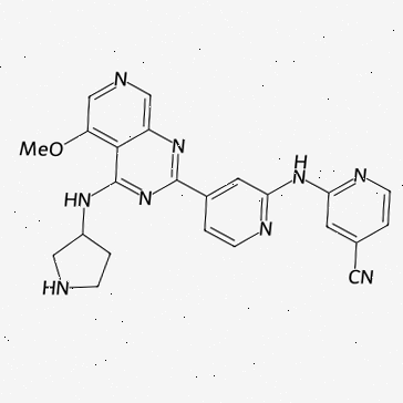 COc1cncc2nc(-c3ccnc(Nc4cc(C#N)ccn4)c3)nc(NC3CCNC3)c12